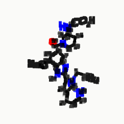 CCC(C)Cn1c(-c2nc3cc(C(=O)N4CCC[C@@H](NC(=O)O)C4)cc(OC)c3n2C)cc2cccnc21